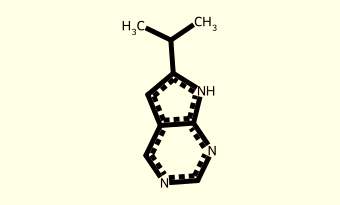 CC(C)c1cc2cncnc2[nH]1